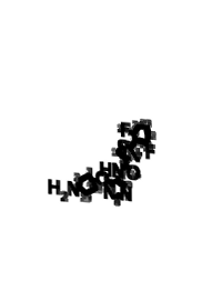 NC1CCC(Oc2ncncc2NC(=O)c2csc(C3=C(F)C=CCC3F)n2)CC1